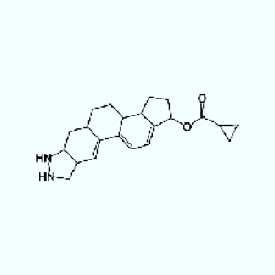 O=C(OC1CCC2C1=CC=C1C3=CC4CNNC4CC3CCC12)C1CC1